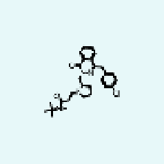 CC(C)(C)NC(=O)CCN1CCCC1Cn1nc(Cc2ccc(Cl)cc2)c2ccccc2c1=O